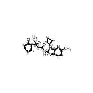 Cc1ccc2nc(NC(=O)CC(C)(O)c3ccccc3Cl)n(C3CCC3)c2n1